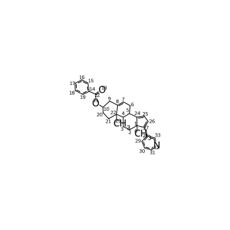 CC12CCC3C(CC=C4CC(OC(=O)c5ccccc5)CCC43C)C1=CC=C2c1cccnc1